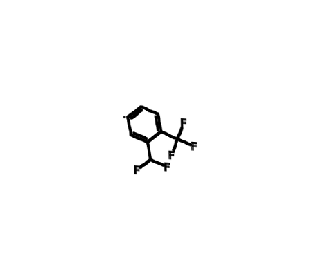 FC(F)c1c[c]ccc1C(F)(F)F